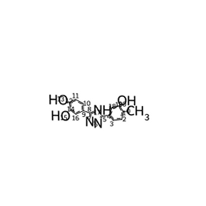 Cc1ccc(-c2nnc(-c3ccc(O)c(O)c3)[nH]2)cc1O